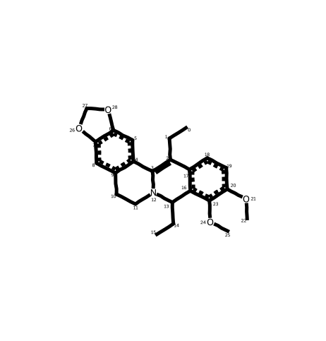 CCC1=C2c3cc4c(cc3CCN2C(CC)c2c1ccc(OC)c2OC)OCO4